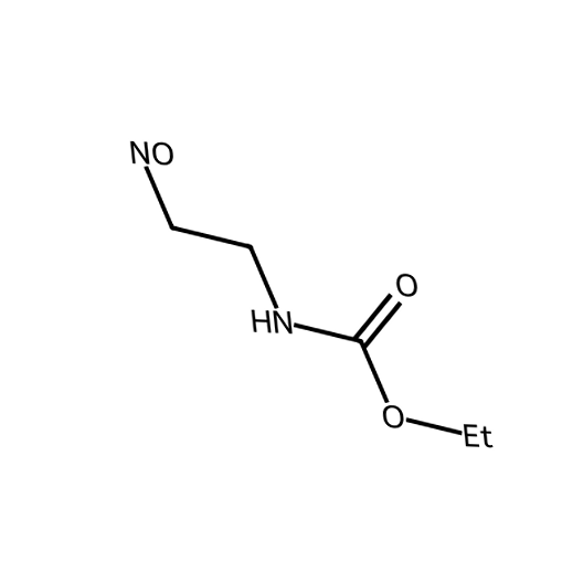 CCOC(=O)NCCN=O